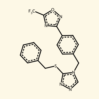 FC(F)(F)c1nc(-c2ccc(Cn3cnnc3SCc3ccccc3)cc2)no1